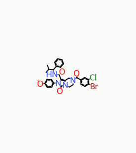 COc1ccc(-n2c(C(=O)N[C@@H](c3ccccc3)C(C)C)c3n(c2=O)CCN(C(=O)c2ccc(Br)c(Cl)c2)C3)cc1